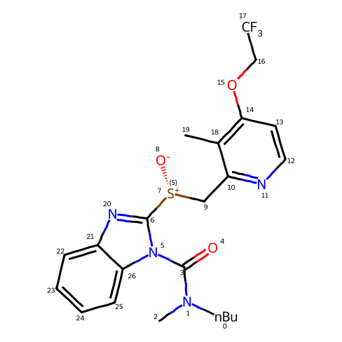 CC[CH]CN(C)C(=O)n1c([S@+]([O-])Cc2nccc(OCC(F)(F)F)c2C)nc2ccccc21